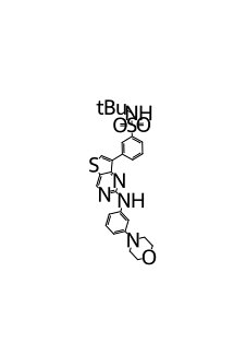 CC(C)(C)NS(=O)(=O)c1cccc(-c2csc3cnc(Nc4cccc(N5CCOCC5)c4)nc23)c1